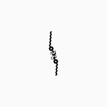 CCCCCCCCCCc1ccc(-c2ncc(OC(=O)c3ccc(CCCCCCCC)cc3)cn2)cc1